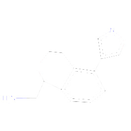 NCC1OCCc2c(-c3cnoc3)cccc21